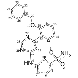 NS(=O)(=O)c1cccc(Nc2cc(-c3ccccc3OCc3ccccc3)ncn2)c1